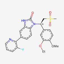 CCOc1cc([C@H](CS(C)(=O)=O)n2c(=O)[nH]c3cc(-c4ncccc4F)ccc32)ccc1OC